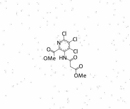 COC(=O)CC(=O)Nc1c(C(=O)OC)nc(Cl)c(Cl)c1Cl